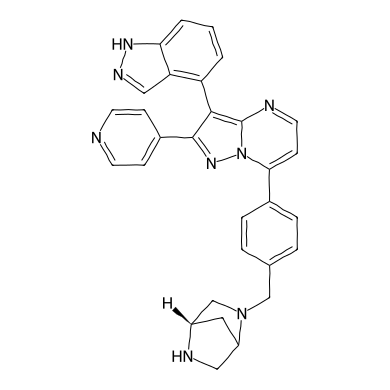 c1cc(-c2c(-c3ccncc3)nn3c(-c4ccc(CN5C[C@@H]6CC5CN6)cc4)ccnc23)c2cn[nH]c2c1